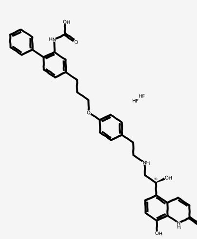 F.F.O=C(O)Nc1cc(CCCOc2ccc(CCNC[C@@H](O)c3ccc(O)c4[nH]c(=O)ccc34)cc2)ccc1-c1ccccc1